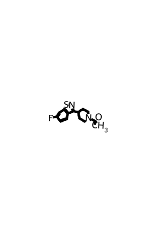 CC(=O)N1CCC(c2nsc3cc(F)ccc23)CC1